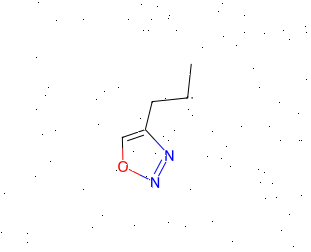 C[CH]Cc1conn1